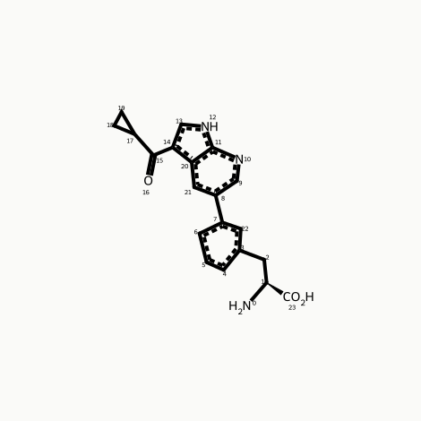 N[C@@H](Cc1cccc(-c2cnc3[nH]cc(C(=O)C4CC4)c3c2)c1)C(=O)O